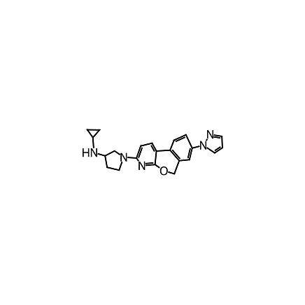 c1cnn(-c2ccc3c(c2)COc2nc(N4CCC(NC5CC5)C4)ccc2-3)c1